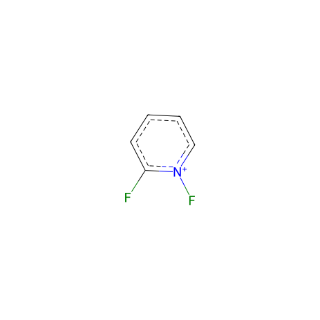 Fc1cccc[n+]1F